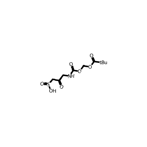 CC(C)(C)C(=O)OCOC(=O)NCC(=O)CS(=O)O